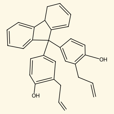 C=CCc1cc(C2(c3ccc(O)c(CC=C)c3)C3=CC=CCC3c3ccccc32)ccc1O